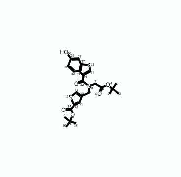 CC(C)(C)OC(=O)CN(Cc1csc(C(=O)OC(C)(C)C)c1)C(=O)c1csc2cc(O)ccc12